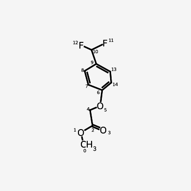 COC(=O)COc1ccc(C(F)F)cc1